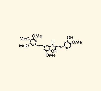 COc1ccc(/C=C/C(=O)Nc2cc(/C=C/c3cc(OC)c(OC)c(OC)c3)cc(OC)c2O)cc1O